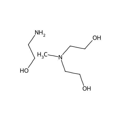 CN(CCO)CCO.NCCO